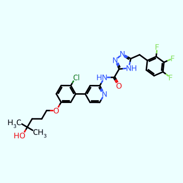 CC(C)(O)CCCOc1ccc(Cl)c(-c2ccnc(NC(=O)c3nnc(Cc4ccc(F)c(F)c4F)[nH]3)c2)c1